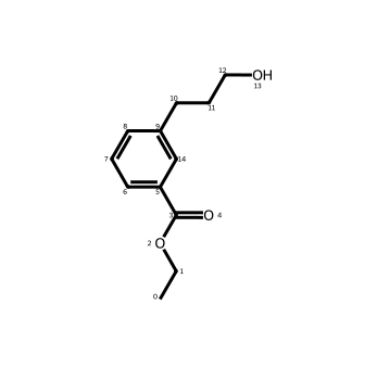 CCOC(=O)c1cccc(CCCO)c1